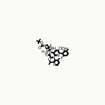 BC(B)(n1c(=O)c(=O)n(-c2c(C)ccnc2C(C)C)c2nc(-c3c(F)ccc(C)c3O)c(Cl)cc21)C1(F)CN(C(=O)OC(C)(C)C)C1